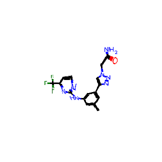 Cc1cc(Nc2nccc(C(F)(F)F)n2)cc(-c2cn(CC(N)=O)nn2)c1